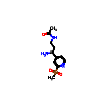 CC(=O)NCC[C@H](N)c1ccnc(S(C)(=O)=O)c1